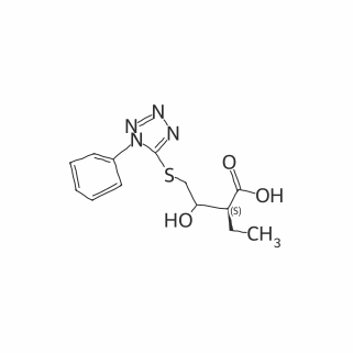 CC[C@H](C(=O)O)C(O)CSc1nnnn1-c1ccccc1